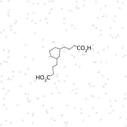 O=C(O)CCCC1[CH]CCC(CCCC(=O)O)C1